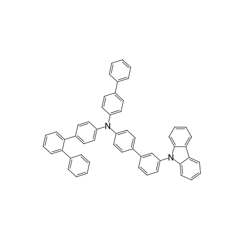 c1ccc(-c2ccc(N(c3ccc(-c4cccc(-n5c6ccccc6c6ccccc65)c4)cc3)c3ccc(-c4ccccc4-c4ccccc4)cc3)cc2)cc1